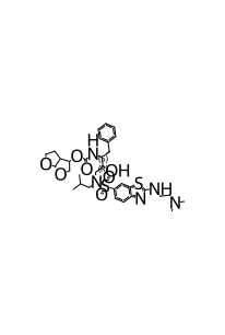 CC(C)CN(C[C@@H](O)[C@H](Cc1ccccc1)NC(=O)OC1COC2OCCC12)S(=O)(=O)c1ccc2nc(NCCN(C)C)sc2c1